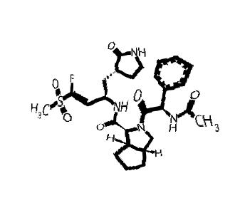 CC(=O)N[C@@H](C(=O)N1C[C@@H]2CCC[C@@H]2[C@H]1C(=O)N[C@@H](/C=C(\F)S(C)(=O)=O)C[C@H]1CCNC1=O)c1ccccc1